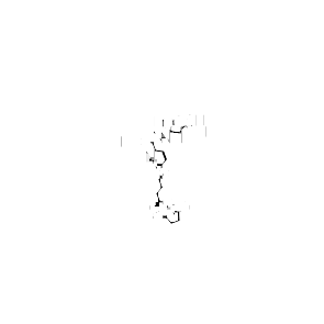 C/C(=N/NC(=O)CC(C)(C)S)c1ccc(OCCCC(=O)ON2C(=O)CCC2=O)nn1